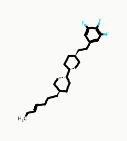 CC/C=C/CCC[C@H]1CC[C@H]([C@H]2CC[C@H](CCc3cc(F)c(F)c(F)c3)CC2)CC1